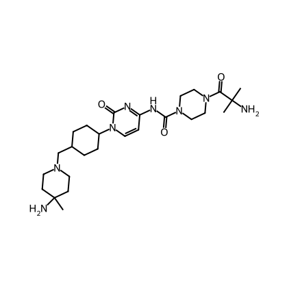 CC1(N)CCN(CC2CCC(n3ccc(NC(=O)N4CCN(C(=O)C(C)(C)N)CC4)nc3=O)CC2)CC1